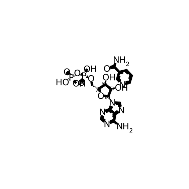 NC(=O)c1cccnc1.Nc1ncnc2c1ncn2[C@@H]1O[C@H](COP(=O)(O)OP(=O)(O)O)[C@@H](O)[C@H]1O